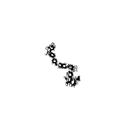 Cn1nc(C2CCC(=O)NC2=O)c2ccc(N3CCC(CN4CCC5(CC4)CCN(c4ncc(Cl)c(Nc6cnc7c(c6)c6c(c(=O)n7C)OCC(F)(F)[C@H](C7CC7)N6)n4)CC5)CC3)cc21